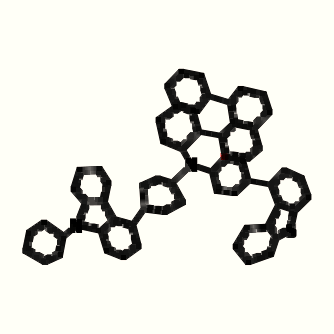 c1ccc(-c2cccc3cccc(-c4ccccc4N(c4ccc(-c5cccc6sc7ccccc7c56)cc4)c4ccc(-c5cccc6c5c5ccccc5n6-c5ccccc5)cc4)c23)cc1